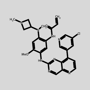 C=CC(=O)Nc1cc(Nc2ncc3nccc(-c4cncc(Cl)c4)c3n2)c(OC)cc1N(C)C1CN(C)C1